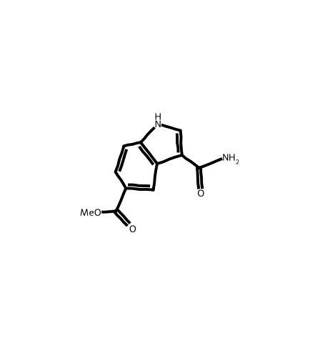 COC(=O)c1ccc2[nH]cc(C(N)=O)c2c1